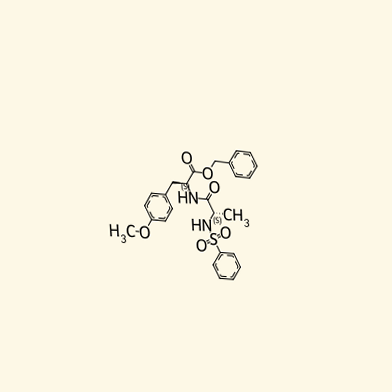 COc1ccc(C[C@H](NC(=O)[C@H](C)NS(=O)(=O)c2ccccc2)C(=O)OCc2ccccc2)cc1